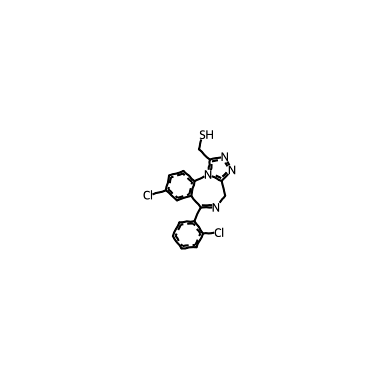 SCc1nnc2n1-c1ccc(Cl)cc1C(c1ccccc1Cl)=NC2